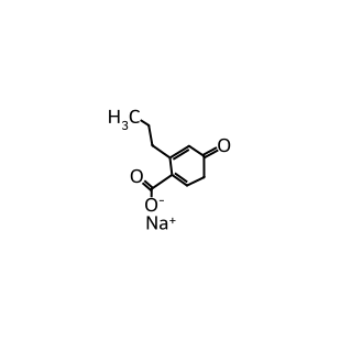 CCCC1=CC(=O)CC=C1C(=O)[O-].[Na+]